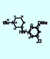 COc1cc(Cl)nc(N[C@@H]2CCCN(C(C)(C)C)C2)n1